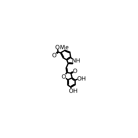 COC(=O)c1ccc2[nH]cc(C=C3Oc4cc(O)cc(O)c4C3=O)c2c1